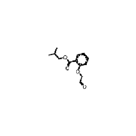 CC(C)COC(=O)c1ccccc1OCC=O